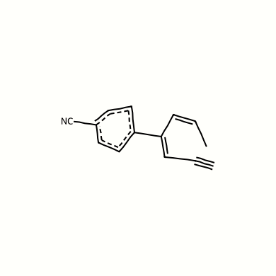 C#C/C=C(\C=C/C)c1ccc(C#N)cc1